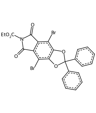 CCOC(=O)N1C(=O)c2c(Br)c3c(c(Br)c2C1=O)OC(c1ccccc1)(c1ccccc1)O3